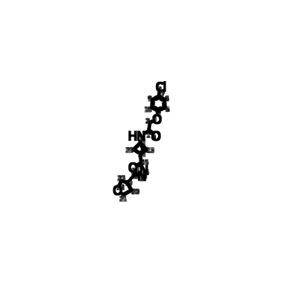 O=C(COc1ccc(Cl)cc1)NC12CC(c3nnc([C@H]4CCOC4)o3)(C1)C2